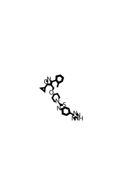 Cc1ccccc1-c1noc(C2CC2)c1COC1CCN(c2nc3ccc(-c4nn[nH]n4)cc3s2)CC1